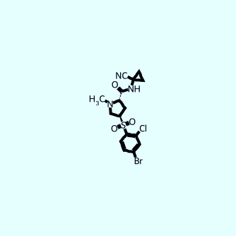 CN1C[C@H](S(=O)(=O)c2ccc(Br)cc2Cl)C[C@H]1C(=O)NC1(C#N)CC1